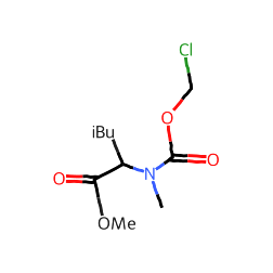 CCC(C)C(C(=O)OC)N(C)C(=O)OCCl